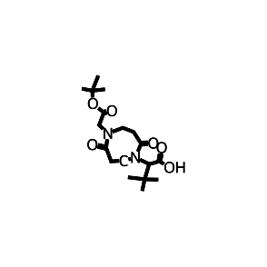 CC(C)(C)OC(=O)CN1CCC(=O)N(C(C(=O)O)C(C)(C)C)CCC1=O